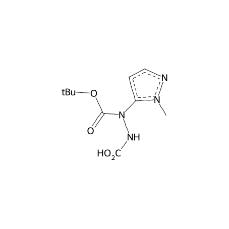 Cn1nccc1N(NC(=O)O)C(=O)OC(C)(C)C